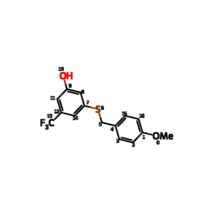 COc1ccc(CSc2cc(O)cc(C(F)(F)F)c2)cc1